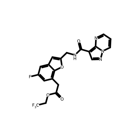 O=C(Cc1cc(F)cc2cc(CNC(=O)c3cnn4cccnc34)oc12)OCC(F)(F)F